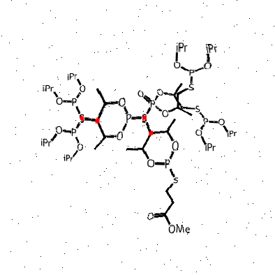 COC(=O)CCSP(OC(C)CSP(OC(C)CSP(OC(C)C)OC(C)C)OC(C)CSP(OC(C)C)OC(C)C)OC(C)CSP(=O)(OC(C)CSP(OC(C)C)OC(C)C)OC(C)CSP(OC(C)C)OC(C)C